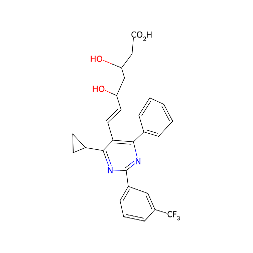 O=C(O)CC(O)CC(O)/C=C/c1c(-c2ccccc2)nc(-c2cccc(C(F)(F)F)c2)nc1C1CC1